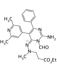 CCOC(=O)CCN(C)/N=c1/c(-c2cc(C)nc(C)c2)c(-c2ccccc2)nc(N)n1C=O